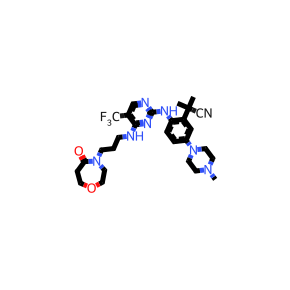 CN1CCN(c2ccc(Nc3ncc(C(F)(F)F)c(NCCCN4CCOCCC4=O)n3)c(C(C)(C)C#N)c2)CC1